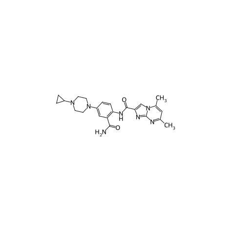 Cc1cc(C)n2cc(C(=O)Nc3ccc(N4CCN(C5CC5)CC4)cc3C(N)=O)nc2n1